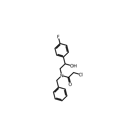 O=C(CCl)N(Cc1ccccc1)CC(O)c1ccc(F)cc1